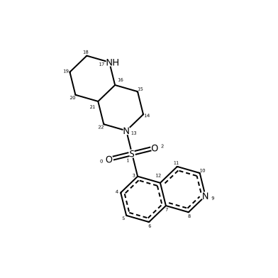 O=S(=O)(c1cccc2cnccc12)N1CCC2NCCCC2C1